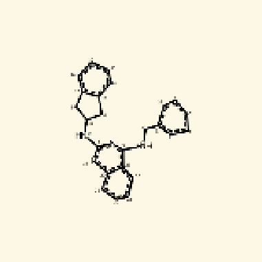 c1ccc(CNc2nc(NC3Cc4ccccc4C3)nc3ccccc23)cc1